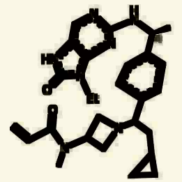 C=CC(=O)N(C)C1CN(C(CC2CC2)c2ccc([C@H](C)Nc3ncc4[nH]c(=O)n(CC)c4n3)cc2)C1